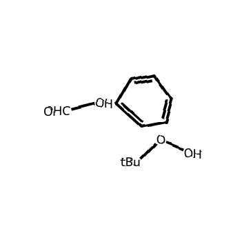 CC(C)(C)OO.O=CO.c1ccccc1